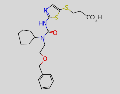 O=C(O)CCSc1cnc(NC(=O)N(CCOCc2ccccc2)C2CCCCC2)s1